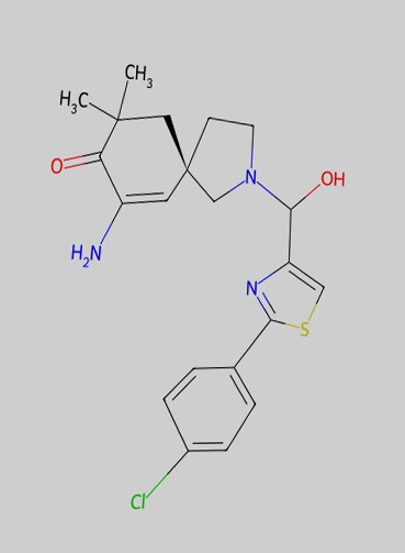 CC1(C)C[C@@]2(C=C(N)C1=O)CCN(C(O)c1csc(-c3ccc(Cl)cc3)n1)C2